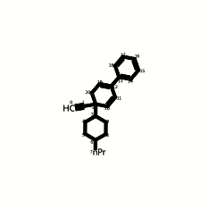 C#CC1(C2CCC(CCC)CC2)C=CC(c2ccccc2)=CC1